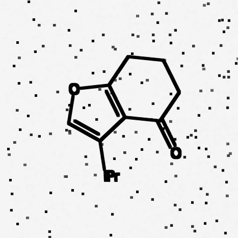 CC(C)c1coc2c1C(=O)CCC2